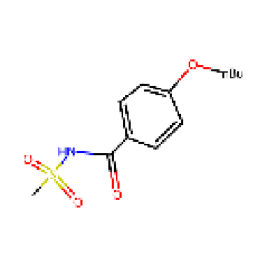 CCCCOc1ccc(C(=O)NS(C)(=O)=O)cc1